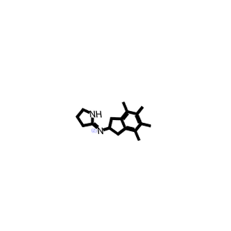 Cc1c(C)c(C)c2c(c1C)CC(/N=C1/CCCN1)C2